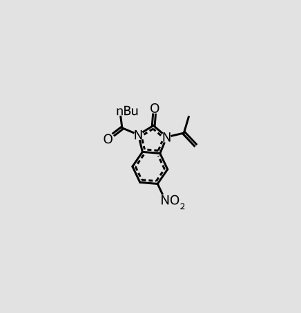 C=C(C)n1c(=O)n(C(=O)CCCC)c2ccc([N+](=O)[O-])cc21